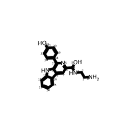 NCCNC(O)c1cc2c([nH]c3ccccc32)c(-c2ccc(O)cc2)n1